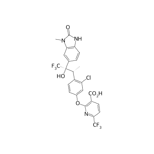 C[C@H](c1ccc(Oc2nc(C(F)(F)F)ccc2C(=O)O)cc1Cl)[C@@](O)(c1ccc2[nH]c(=O)n(C)c2c1)C(F)(F)F